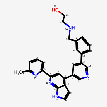 Cc1cccc(-c2cc(-c3cncc(-c4cccc(CNCCO)c4)c3)c3cc[nH]c3n2)n1